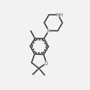 Cc1cc2c(cc1N1CCNCC1)OC(C)(C)C2